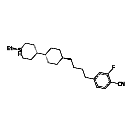 CC[Si@H]1CC[C@H]([C@H]2CC[C@H](CCCCc3ccc(C#N)c(F)c3)CC2)CC1